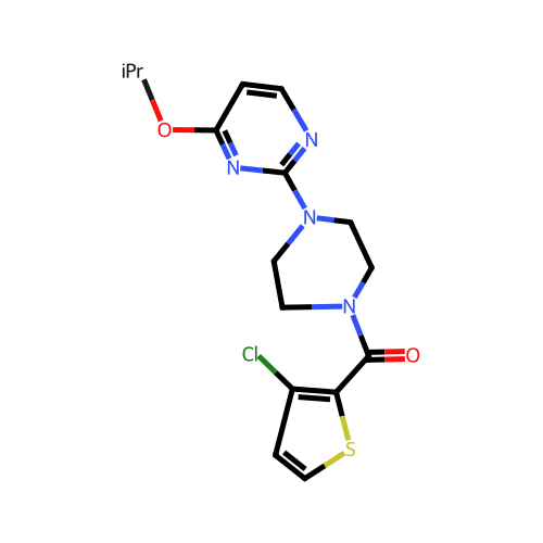 CC(C)Oc1ccnc(N2CCN(C(=O)c3sccc3Cl)CC2)n1